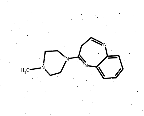 CN1CCN(C2=Nc3ccccc3N=CC2)CC1